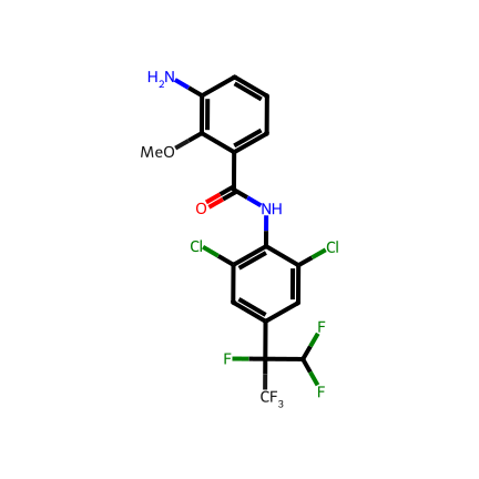 COc1c(N)cccc1C(=O)Nc1c(Cl)cc(C(F)(C(F)F)C(F)(F)F)cc1Cl